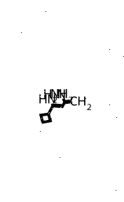 C=C(N)/C=C(\NN)C1CCC1